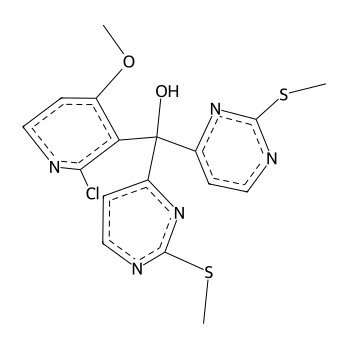 COc1ccnc(Cl)c1C(O)(c1ccnc(SC)n1)c1ccnc(SC)n1